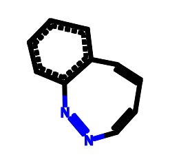 C1=CN=Nc2ccccc2C=C1